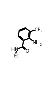 CCNC(=O)c1cccc(C(F)(F)F)c1N